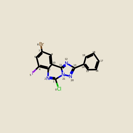 Clc1nc2c(I)cc(Br)cc2c2nc(-c3ccccc3)nn12